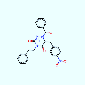 NC(=O)N(CCc1ccccc1)C(=O)C(Cc1ccc([N+](=O)[O-])cc1)NC(=O)c1ccccc1